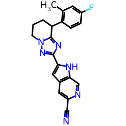 Cc1cc(F)ccc1C1CCCn2nc(-c3cc4cc(C#N)ncc4[nH]3)nc21